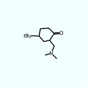 CN(C)CC1CC(C(C)(C)C)CCC1=O